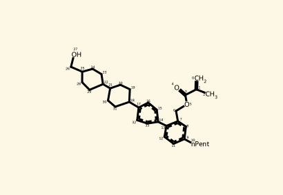 C=C(C)C(=O)OCc1cc(CCCCC)ccc1-c1ccc(C2CCC(C3CCC(CO)CC3)CC2)cc1